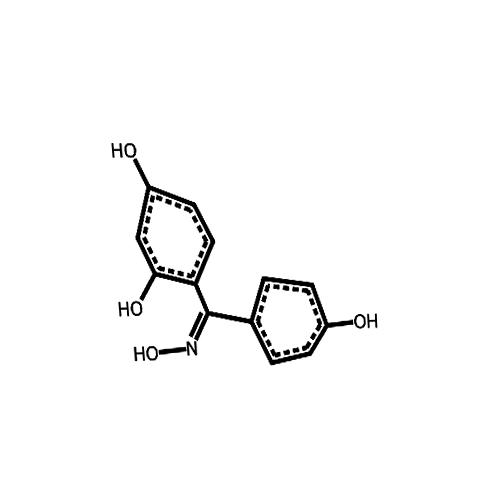 ON=C(c1ccc(O)cc1)c1ccc(O)cc1O